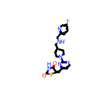 O=C1NC(=O)/C(=C\c2ccnc(N3CCC(CNCc4ccc(F)cn4)CC3)n2)S1